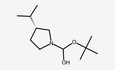 CC(C)[C@H]1CCN(C(O)OC(C)(C)C)C1